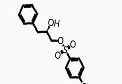 Cc1ccc(S(=O)(=O)OC[C@H](O)Cc2ccccc2)cc1